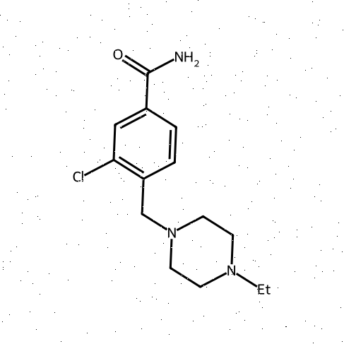 CCN1CCN(Cc2ccc(C(N)=O)cc2Cl)CC1